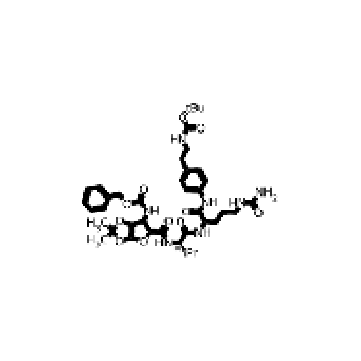 CC(C)[C@@H](NC(=O)C1OC2OC(C)(C)OC2C1NC(=O)OCc1ccccc1)C(=O)NC(CCCNC(N)=O)C(=O)Nc1ccc(CCNC(=O)OC(C)(C)C)cc1